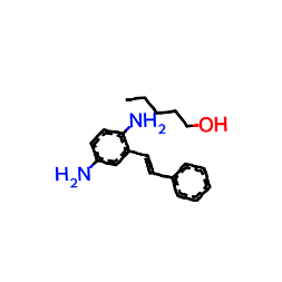 CCCCCO.Nc1ccc(N)c(C=Cc2ccccc2)c1